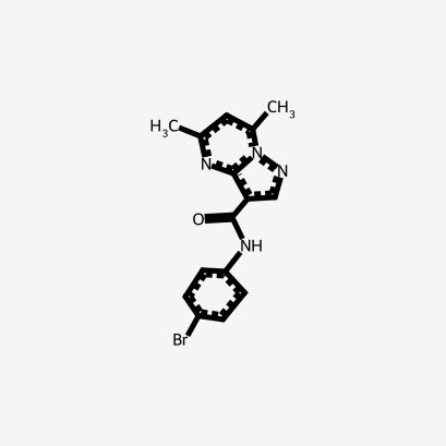 Cc1cc(C)n2ncc(C(=O)Nc3ccc(Br)cc3)c2n1